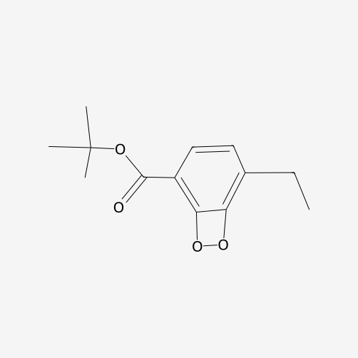 CCc1ccc(C(=O)OC(C)(C)C)c2ooc12